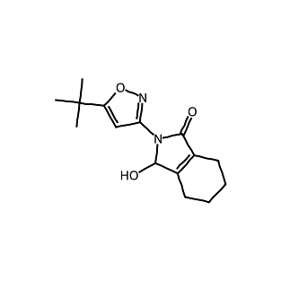 CC(C)(C)c1cc(N2C(=O)C3=C(CCCC3)C2O)no1